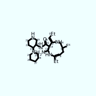 CC/C=C1\NCC(F)C/C=C(/CC)NC(N)C1C(=O)NC1CNCCC1N1CCCCC1